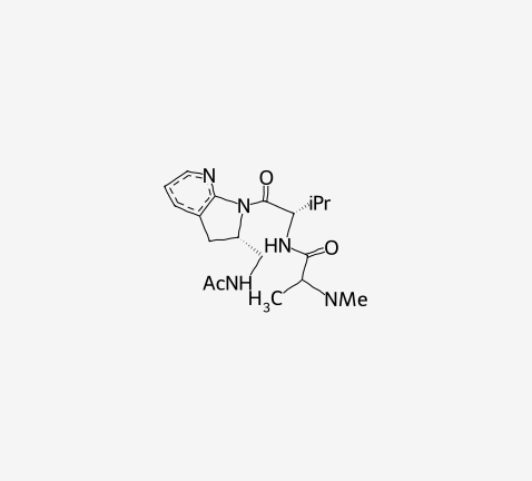 CNC(C)C(=O)N[C@H](C(=O)N1c2ncccc2C[C@H]1CNC(C)=O)C(C)C